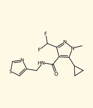 Cn1nc(C(F)F)c(C(=O)NCc2cscn2)c1C1CC1